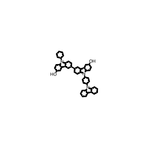 Oc1ccc2c(c1)c1cc(-c3ccc4c(c3)c3cc(O)ccc3n4-c3ccc(-n4c5ccccc5c5ccccc54)cc3)ccc1n2-c1ccccc1